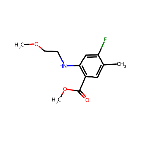 COCCNc1cc(F)c(C)cc1C(=O)OC